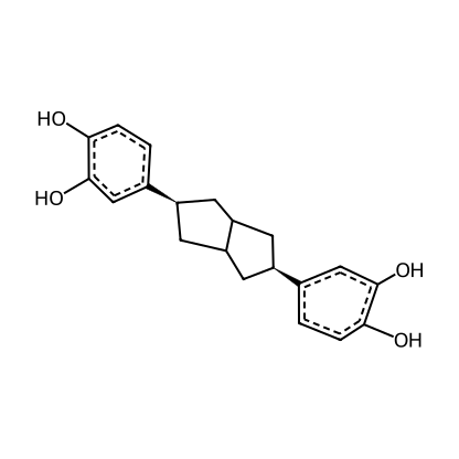 Oc1ccc([C@H]2CC3C[C@@H](c4ccc(O)c(O)c4)CC3C2)cc1O